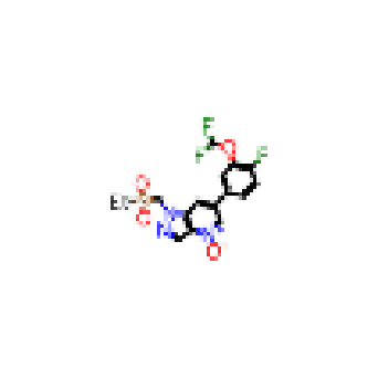 CCS(=O)(=O)Cn1ncc2c1cc(-c1ccc(F)c(OC(F)F)c1)c[n+]2[O-]